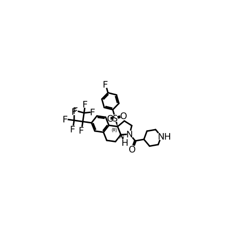 O=C(C1CCNCC1)N1CC[C@@]2(S(=O)(=O)c3ccc(F)cc3)c3ccc(C(F)(C(F)(F)F)C(F)(F)F)cc3CC[C@@H]12